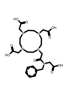 O=C(O)CN1CCN(CC(=O)O)CCN(CC(=O)N(CC(=O)O)Cc2ccccc2)CCN(CC(=O)O)CC1